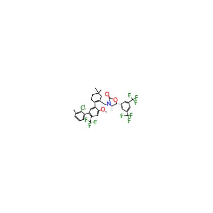 COc1cc(C(F)(F)F)c(-c2cccc(C)c2Cl)cc1C1=C(CN2C(=O)O[C@H](c3cc(C(F)(F)F)cc(C(F)(F)F)c3)[C@@H]2C)CC(C)(C)CC1